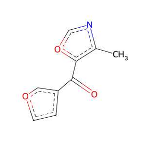 Cc1ncoc1C(=O)c1ccoc1